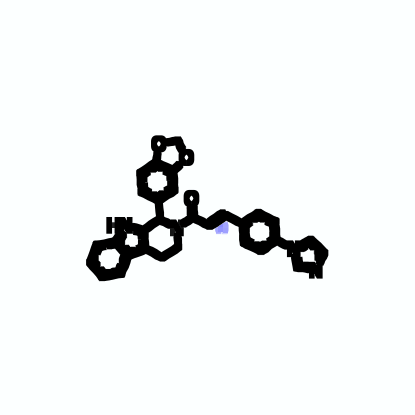 O=C(/C=C/c1ccc(-n2ccnc2)cc1)N1CCc2c([nH]c3ccccc23)C1c1ccc2c(c1)OCO2